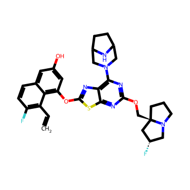 C=Cc1c(F)ccc2cc(O)cc(Oc3nc4c(N5CC6CCC(C5)N6)nc(OC[C@@]56CCCN5C[C@H](F)C6)nc4s3)c12